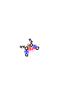 CC(C)(C)CC(C)(C)c1cc(-n2nc3ccccc3n2)c(O)c(S(=O)(=O)c2cc(C(C)(C)CC(C)(C)C)cc(-n3nc4ccccc4n3)c2O)c1